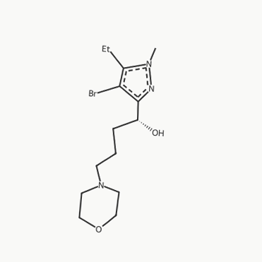 CCc1c(Br)c([C@H](O)CCCN2CCOCC2)nn1C